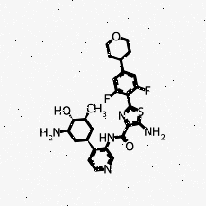 C[C@H]1C[C@@H](c2ccncc2NC(=O)c2nc(-c3c(F)cc(C4CCOCC4)cc3F)sc2N)C[C@@H](N)[C@@H]1O